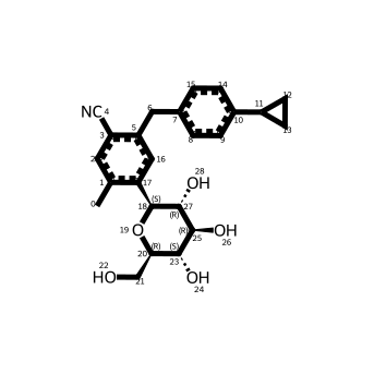 Cc1cc(C#N)c(Cc2ccc(C3CC3)cc2)cc1[C@@H]1O[C@H](CO)[C@@H](O)[C@H](O)[C@H]1O